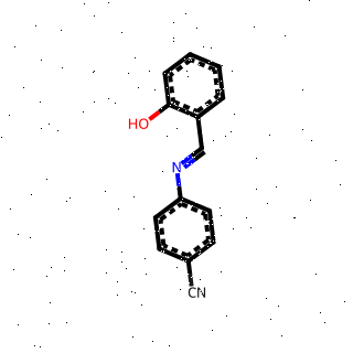 N#Cc1ccc(N=Cc2ccccc2O)cc1